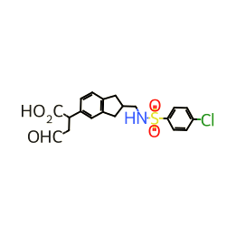 O=CCC(C(=O)O)c1ccc2c(c1)CC(CNS(=O)(=O)c1ccc(Cl)cc1)C2